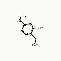 CCc1ccc(SC)cc1Cl